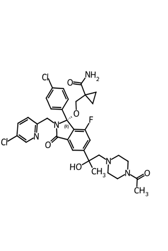 CC(=O)N1CCN(CC(C)(O)c2cc(F)c3c(c2)C(=O)N(Cc2ccc(Cl)cn2)[C@@]3(OCC2(C(N)=O)CC2)c2ccc(Cl)cc2)CC1